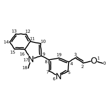 COC=Cc1cncc(-c2cc3ccccc3n2C)c1